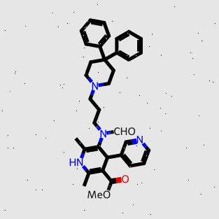 COC(=O)C1=C(C)NC(C)=C(N(C=O)CCCN2CCC(c3ccccc3)(c3ccccc3)CC2)C1c1cccnc1